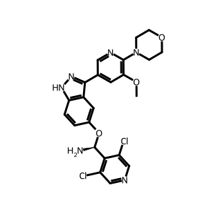 COc1cc(-c2n[nH]c3ccc(O[C@H](N)c4c(Cl)cncc4Cl)cc23)cnc1N1CCOCC1